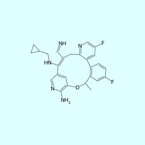 CC1Oc2cc(cnc2N)/C(NCC2CC2)=C(/C=N)Cc2ncc(F)cc2-c2ccc(F)cc21